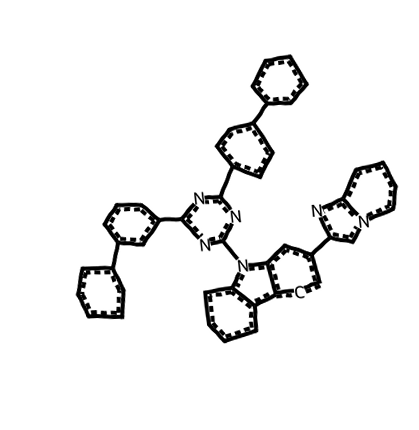 c1ccc(-c2ccc(-c3nc(-c4cccc(-c5ccccc5)c4)nc(-n4c5ccccc5c5ccc(-c6cn7ccccc7n6)cc54)n3)cc2)cc1